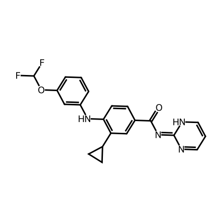 O=C(N=c1nccc[nH]1)c1ccc(Nc2cccc(OC(F)F)c2)c(C2CC2)c1